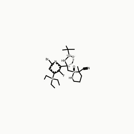 CC[Si](CC)(CC)c1cc(Br)nc([C@](CF)(C[SH]2(=O)NCCCC2(C)C#N)N[S@+]([O-])C(C)(C)C)c1F